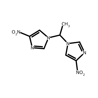 CC(n1cnc([N+](=O)[O-])c1)n1cnc([N+](=O)[O-])c1